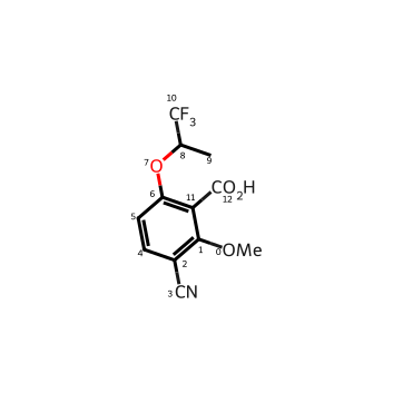 COc1c(C#N)ccc(OC(C)C(F)(F)F)c1C(=O)O